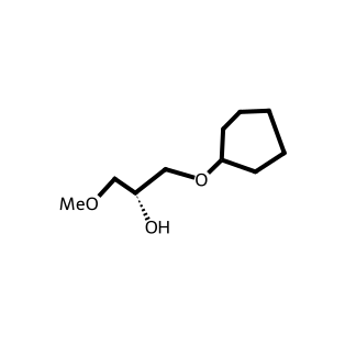 COC[C@@H](O)COC1CCCCC1